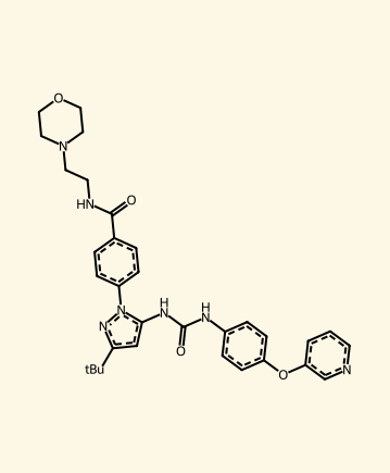 CC(C)(C)c1cc(NC(=O)Nc2ccc(Oc3cccnc3)cc2)n(-c2ccc(C(=O)NCCN3CCOCC3)cc2)n1